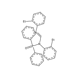 CCc1ccccc1N=CN(c1ccccc1CC)P(=O)(c1ccccc1)c1ccccc1